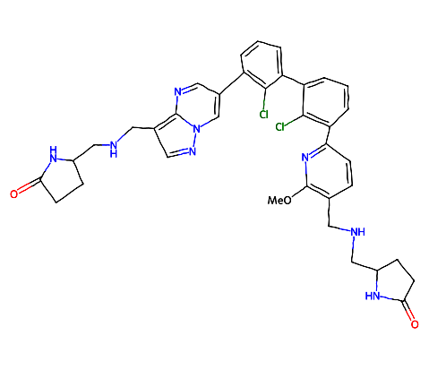 COc1nc(-c2cccc(-c3cccc(-c4cnc5c(CNCC6CCC(=O)N6)cnn5c4)c3Cl)c2Cl)ccc1CNCC1CCC(=O)N1